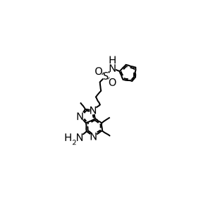 Cc1nc(N)c2nc(C)n(CCCCS(=O)(=O)Nc3ccccc3)c2c1C